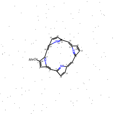 COC1=CC2=CC3=NC(=CC4=NC(=CC5=NC(=CC1=N2)C=C5)C=C4)C=C3